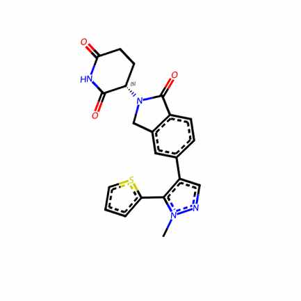 Cn1ncc(-c2ccc3c(c2)CN([C@H]2CCC(=O)NC2=O)C3=O)c1-c1cccs1